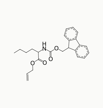 C=CCOC(=O)C(CCCC)NC(=O)OCC1c2ccccc2-c2ccccc21